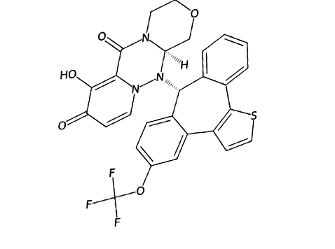 O=C1c2c(O)c(=O)ccn2N([C@H]2c3ccc(OC(F)(F)F)cc3-c3ccsc3-c3ccccc32)[C@@H]2COCCN12